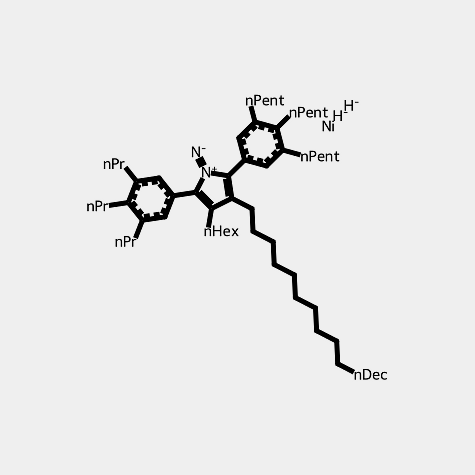 CCCCCCCCCCCCCCCCCCCCC1=C(c2cc(CCCCC)c(CCCCC)c(CCCCC)c2)[N+](=[N-])C(c2cc(CCC)c(CCC)c(CCC)c2)=C1CCCCCC.[H-].[H-].[Ni]